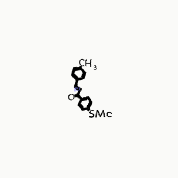 CSc1ccc(C(=O)/C=C/c2ccc(C)cc2)cc1